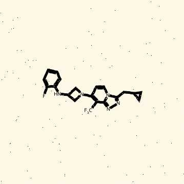 Fc1ccccc1NC1CN(c2ccn3c(CC4CC4)nnc3c2C(F)(F)F)C1